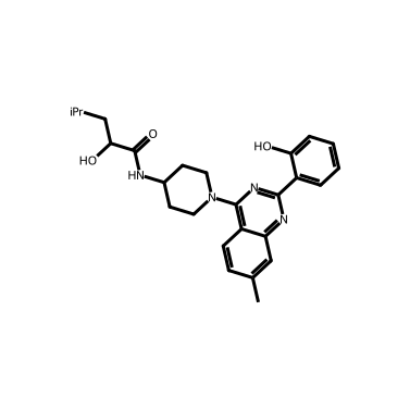 Cc1ccc2c(N3CCC(NC(=O)C(O)CC(C)C)CC3)nc(-c3ccccc3O)nc2c1